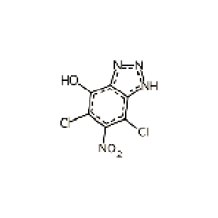 O=[N+]([O-])c1c(Cl)c(O)c2nn[nH]c2c1Cl